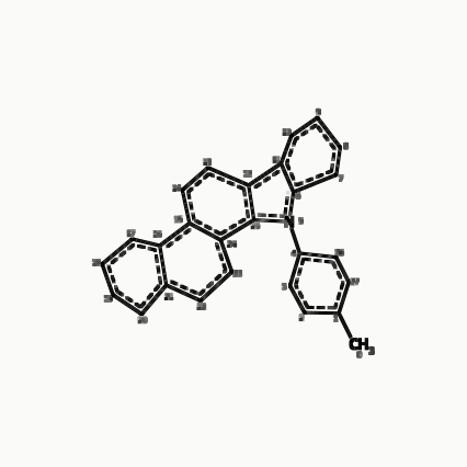 Cc1ccc(-n2c3ccccc3c3ccc4c5ccccc5ccc4c32)cc1